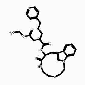 CCOC(=O)C[C@@H](CCCc1ccncc1)C(=O)NC1Cc2cn(c3ccccc23)CCOCCNC1=O